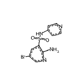 Nc1ncc(Br)cc1S(=O)(=O)Nc1ccncc1